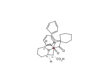 CN(Cc1ccccc1)C(=O)N1[C@H]2CCC[C@@H]1[C@@H](C(=O)O)N(C(=O)C1(c3ccccc3)CCCCC1)C2